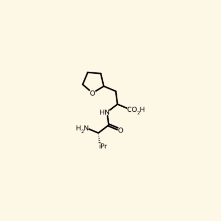 CC(C)[C@H](N)C(=O)NC(CC1CCCO1)C(=O)O